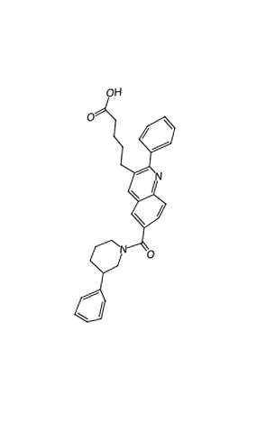 O=C(O)CCCCc1cc2cc(C(=O)N3CCCC(c4ccccc4)C3)ccc2nc1-c1ccccc1